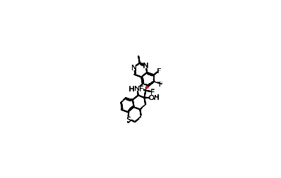 Cc1ncc2c(NC3c4cccc5c4C(CCS5)CC3(O)C(F)(F)F)cc(F)c(F)c2n1